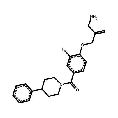 C=C(CN)COc1ccc(C(=O)N2CCC(c3ccccc3)CC2)cc1F